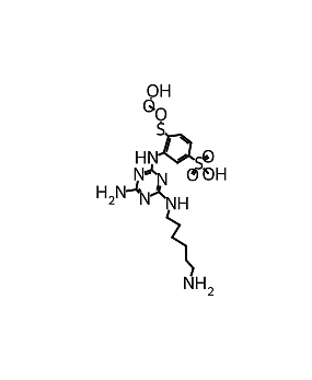 NCCCCCCNc1nc(N)nc(Nc2cc(S(=O)(=O)O)ccc2SOOO)n1